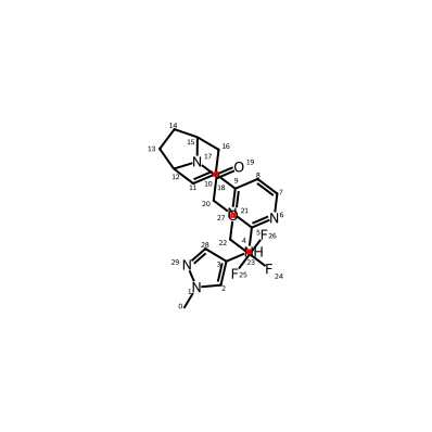 Cn1cc(Nc2nccc(C3=CC4CCC(C3)N4C(=O)COCC(F)(F)F)n2)cn1